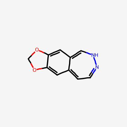 C1=NNC=c2cc3c(cc2=C1)OCO3